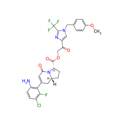 COc1ccc(Cn2cc(C(=O)COC(=O)[C@@H]3CC[C@@H]4CC(c5c(N)ccc(Cl)c5F)=CC(=O)N43)nc2C(F)(F)F)cc1